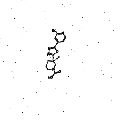 O=C(O)N1CCCC(F)(c2nnc(-c3ccnc(Br)c3)o2)C1